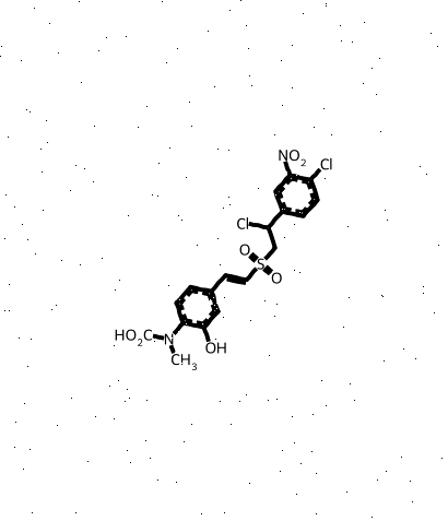 CN(C(=O)O)c1ccc(C=CS(=O)(=O)CC(Cl)c2ccc(Cl)c([N+](=O)[O-])c2)cc1O